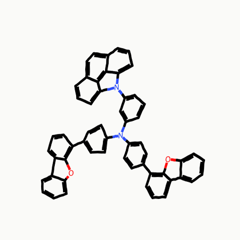 c1cc(N(c2ccc(-c3cccc4c3oc3ccccc34)cc2)c2ccc(-c3cccc4c3oc3ccccc34)cc2)cc(-n2c3cccc4ccc5cccc2c5c43)c1